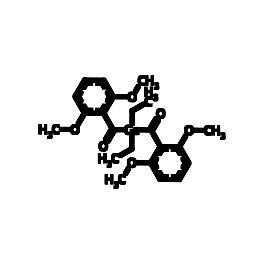 C[CH2][Ge]([CH2]C)([C](=O)c1c(OC)cccc1OC)[C](=O)c1c(OC)cccc1OC